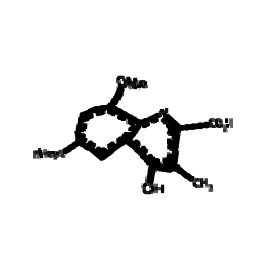 CCCCCCCc1cc(OC)c2nc(C(=O)O)c(C)c(O)c2c1